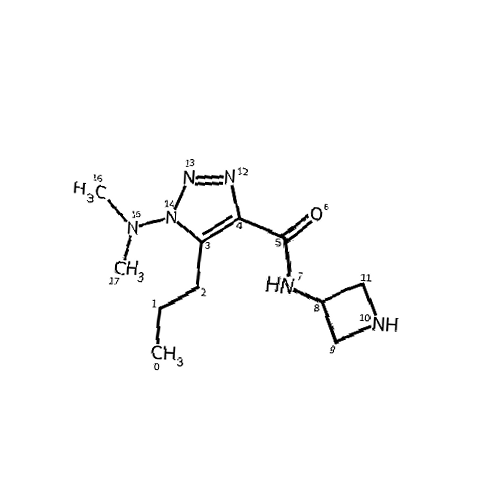 CCCc1c(C(=O)NC2CNC2)nnn1N(C)C